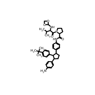 CC(C)C(NC1OCO1)C(=O)N1CCCC1C(=O)Nc1ccc(C2CCC(c3ccc(N)cc3)C2c2ccc(C(C)(C)C)cc2)cc1